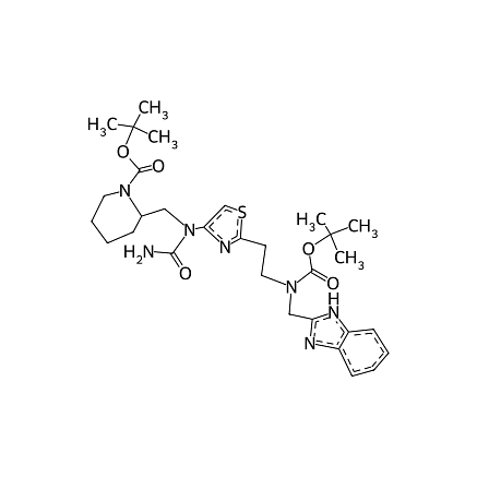 CC(C)(C)OC(=O)N(CCc1nc(N(CC2CCCCN2C(=O)OC(C)(C)C)C(N)=O)cs1)Cc1nc2ccccc2[nH]1